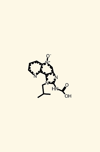 CC(C)Cn1c(NC(=O)O)nc2c[n+]([O-])c3cccnc3c21